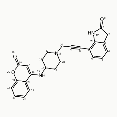 O=C1Cc2cccc(C#CCN3CCC(Nc4cc(=O)oc5ccccc45)CC3)c2N1